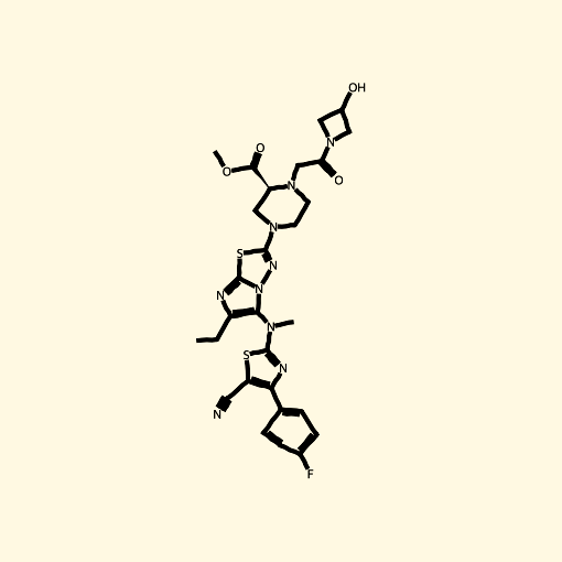 CCc1nc2sc(N3CCN(CC(=O)N4CC(O)C4)[C@H](C(=O)OC)C3)nn2c1N(C)c1nc(-c2ccc(F)cc2)c(C#N)s1